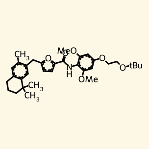 COc1cc(OCCOC(C)(C)C)cc(OC)c1NC(=O)c1ccc(Cc2cc3c(cc2C)CCCC3(C)C)o1